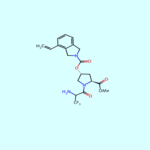 C=Cc1cccc2c1CN(C(=O)O[C@@H]1C[C@@H](C(=O)OC)N(C(=O)C(N)C(F)(F)F)C1)C2